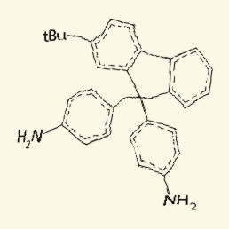 CC(C)(C)c1ccc2c(c1)C(c1ccc(N)cc1)(c1ccc(N)cc1)c1ccccc1-2